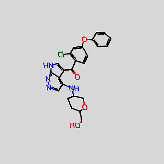 O=C(c1ccc(Oc2ccccc2)cc1Cl)c1c[nH]c2nncc(N[C@@H]3CCC(CO)OC3)c12